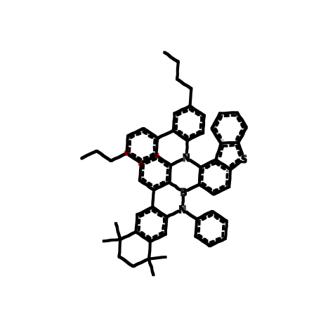 CCCCc1ccc(N2c3cc(CCCC)cc4c3B(c3ccc5sc6ccccc6c5c32)N(c2ccccc2)c2cc3c(cc2-4)C(C)(C)CCC3(C)C)c(-c2ccccc2)c1